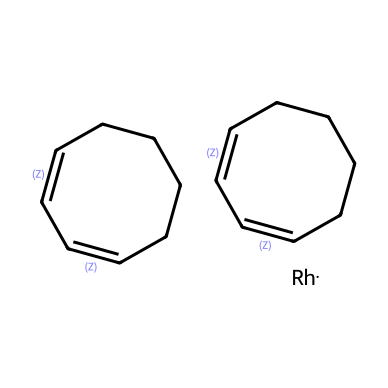 C1=C\CCCC\C=C/1.C1=C\CCCC\C=C/1.[Rh]